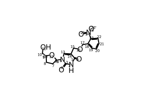 O=c1[nH]c(=O)n([C@H]2CC[C@@H](CO)O2)cc1COCc1ccccc1[N+](=O)[O-]